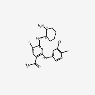 Cc1ncc(Nc2nc(N[C@@H]3CCCC[C@@H]3N)c(F)cc2C(N)=O)cc1Cl